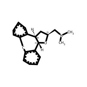 CN(C)C[C@@H]1C[C@@H]2c3ccccc3Cc3ccccc3[C@H]2O1